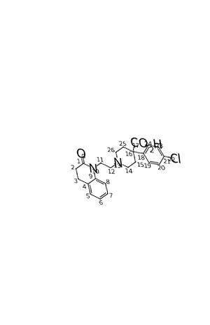 O=C1CCc2ccccc2N1CCN1CCC(C(=O)O)(c2ccc(Cl)cc2)CC1